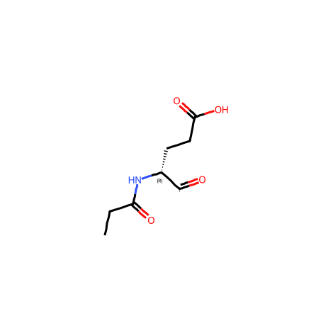 CCC(=O)N[C@@H]([C]=O)CCC(=O)O